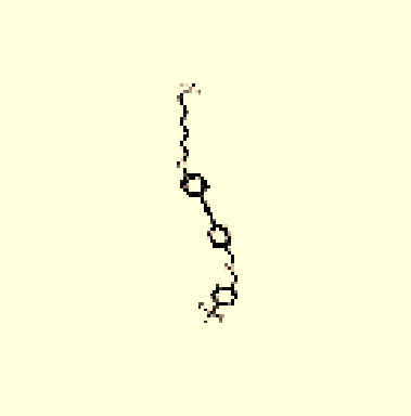 CCCCCCCOc1ccc(C#Cc2ccc(C[N]Cc3ccc(C(F)(F)F)cc3)cc2)cc1